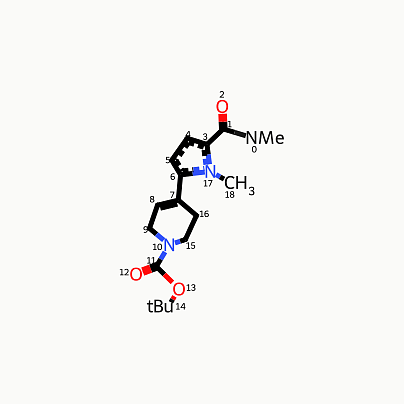 CNC(=O)c1ccc(C2=CCN(C(=O)OC(C)(C)C)CC2)n1C